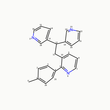 Cc1ccc(-c2ncccc2CC(c2cccnc2)c2cccnc2)cc1